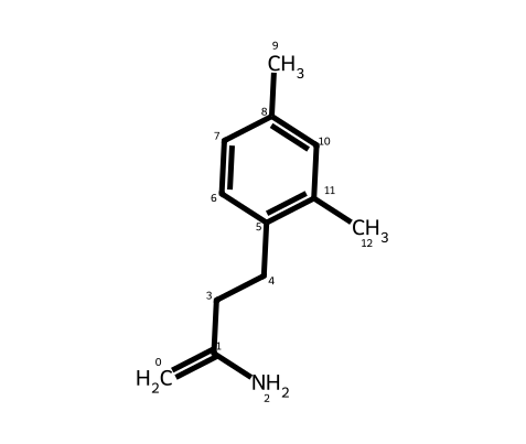 C=C(N)CCc1ccc(C)cc1C